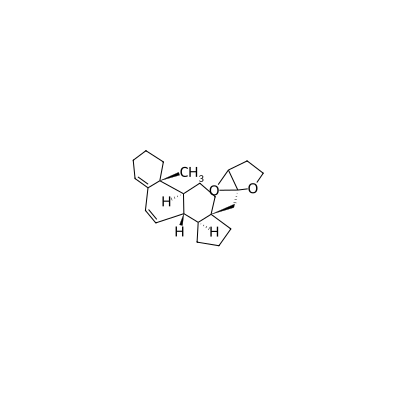 C[C@]12CCCC=C1C=C[C@H]1[C@@H]3CCC[C@@]3(C[C@@]34OCCC3O4)CC[C@@H]12